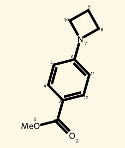 COC(=O)c1ccc(N2CCC2)cc1